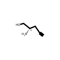 C#CC[C@H](N)CO